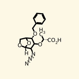 C[C@@H](OC1C(N=[N+]=[N-])[C@@H]2OCC(O2)[C@H]1OCc1ccccc1)C(=O)O